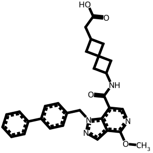 COc1ncc(C(=O)NC2CC3(CC(CC(=O)O)C3)C2)c2c1cnn2Cc1ccc(-c2ccccc2)cc1